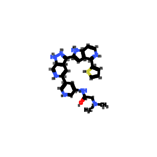 CN(C)CC(=O)Nc1cncc(-c2cc3c(-c4cc5c(-c6cccs6)nccc5[nH]4)n[nH]c3cn2)c1